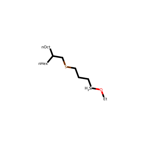 CCCCCCCCC(CCCCCC)CSCCC[SiH2]OCC